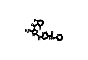 Nc1nc(Nc2ccc(C(=O)Nc3ccccn3)cn2)sc1C(=O)c1c(F)cccc1F